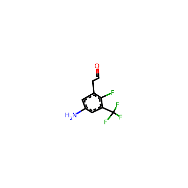 Nc1cc(CC=O)c(F)c(C(F)(F)F)c1